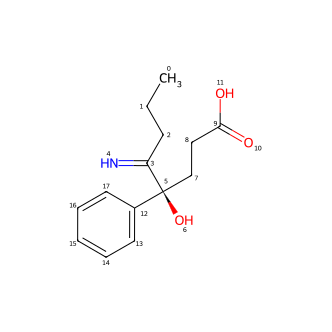 CCCC(=N)[C@](O)(CCC(=O)O)c1ccccc1